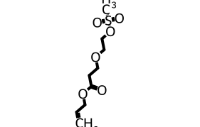 C=CCOC(=O)CCOCCOS(C)(=O)=O